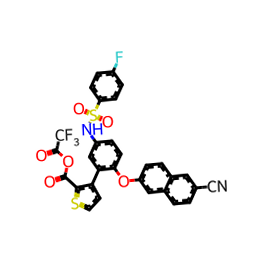 N#Cc1ccc2cc(Oc3ccc(NS(=O)(=O)c4ccc(F)cc4)cc3-c3ccsc3C(=O)OC(=O)C(F)(F)F)ccc2c1